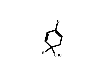 O=CC1(Br)C=CC(Br)=CC1